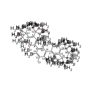 Bc1c(B)c2c(c(B)c1-c1c(B)c(C)c(B)c(-c3c(B)c(B)c4c(c3B)C(C(B)(B)B)(C(B)(B)B)C(B)(B)C(B)(B)C4(C(B)(B)B)C(B)(B)B)c1B)C(C(B)(B)B)(C(B)(B)B)C(B)(B)C(B)(B)C2(C(B)(B)B)C(B)(B)B